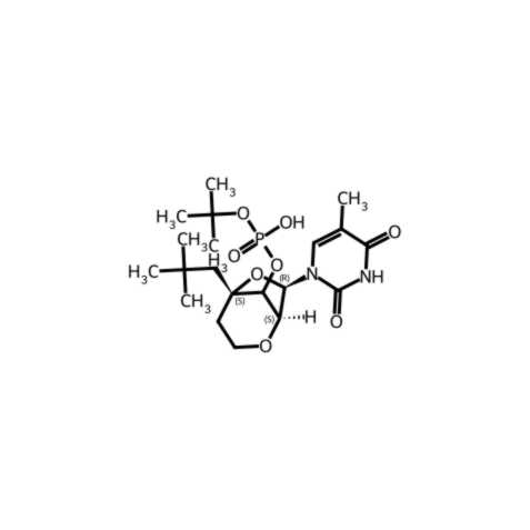 Cc1cn([C@@H]2O[C@@]3(CC(C)(C)C)CCO[C@H]2C3OP(=O)(O)OC(C)(C)C)c(=O)[nH]c1=O